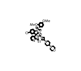 CCOc1ncccc1[C@]1(NC(=O)N2CC(N3CCC(N4CCOCC4)CC3)C2)C(=O)N(S(=O)(=O)c2ccc(OC)cc2OC)c2ccc(Cl)cc21